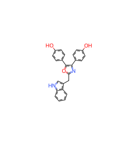 Oc1ccc(-c2nc(Cc3c[nH]c4ccccc34)oc2-c2ccc(O)cc2)cc1